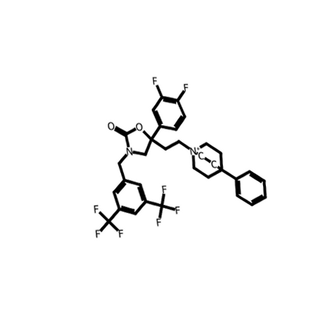 O=C1OC(CC[N+]23CCC(c4ccccc4)(CC2)CC3)(c2ccc(F)c(F)c2)CN1Cc1cc(C(F)(F)F)cc(C(F)(F)F)c1